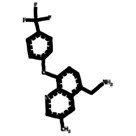 Cc1cnc2c(Oc3ccc(C(F)(F)F)cc3)ccc(CN)c2c1